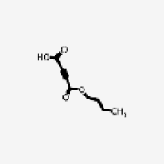 CCCCOC(=O)C#CC(=O)O